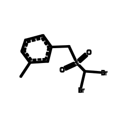 Cc1cccc(CS(=O)(=O)C(Br)Br)c1